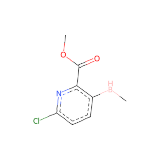 CBc1ccc(Cl)nc1C(=O)OC